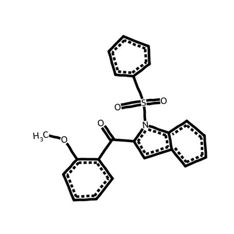 COc1ccccc1C(=O)c1cc2ccccc2n1S(=O)(=O)c1ccccc1